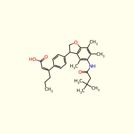 CCC/C(=C/C(=O)O)c1ccc(C2COc3c(C)c(C)c(NC(=O)CC(C)(C)C)c(C)c32)cc1